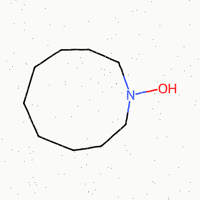 ON1CCCCCCCCC1